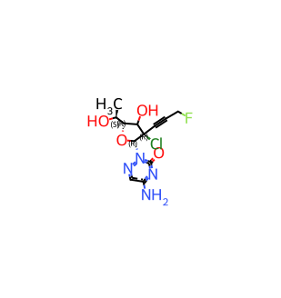 C[C@H](O)[C@H]1O[C@@H](n2ncc(N)nc2=O)[C@@](Cl)(C#CCF)C1O